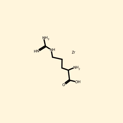 N=C(N)NCCCC(N)C(=O)O.[Zr]